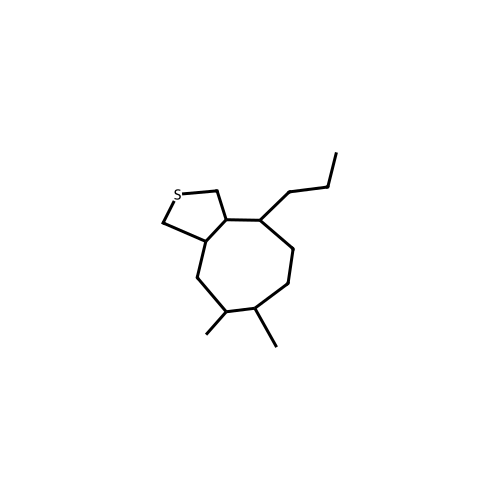 CCCC1CCC(C)C(C)CC2CSCC12